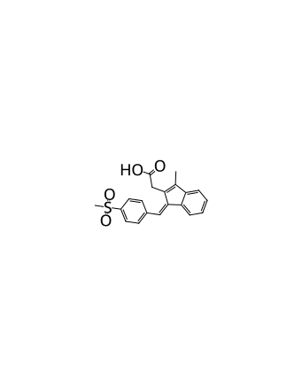 CC1=C(CC(=O)O)C(=Cc2ccc(S(C)(=O)=O)cc2)c2ccccc21